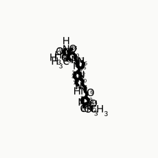 Cc1ncc(C(=O)NCc2cc3nc(-c4ccnc(N5CCC6(NC(=O)NC6=O)C(C)(C)C5)n4)ccc3cn2)cc1S(C)(=O)=O